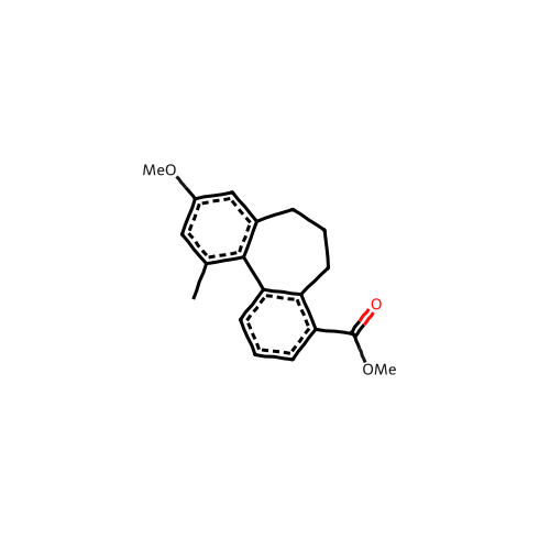 COC(=O)c1cccc2c1CCCc1cc(OC)cc(C)c1-2